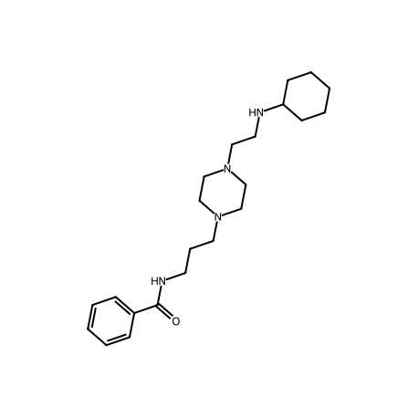 O=C(NCCCN1CCN(CCNC2CCCCC2)CC1)c1ccccc1